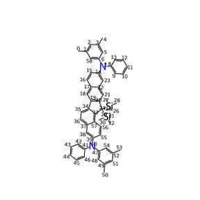 Cc1cc(C)cc(N(c2ccccc2)c2ccc3cc4c(cc3c2)C([Si](C)(C)C)([Si](C)(C)C)c2c-4ccc3cc(N(c4ccccc4)c4cc(C)cc(C)c4)ccc23)c1